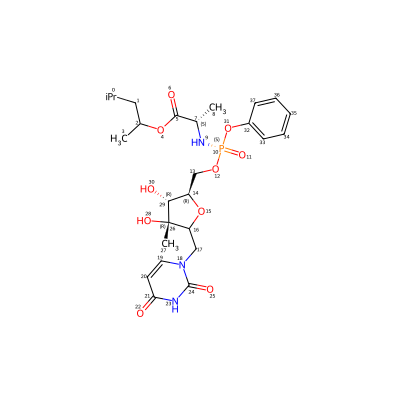 CC(C)CC(C)OC(=O)[C@H](C)N[P@](=O)(OC[C@H]1OC(Cn2ccc(=O)[nH]c2=O)[C@](C)(O)[C@@H]1O)Oc1ccccc1